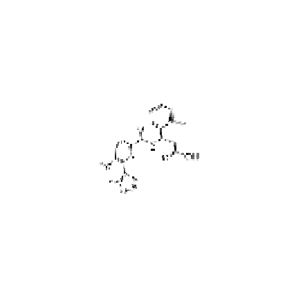 COc1ccc(C(=O)NC(CC(=O)O)c2ccccc2C)nc1-c1ccoc1C